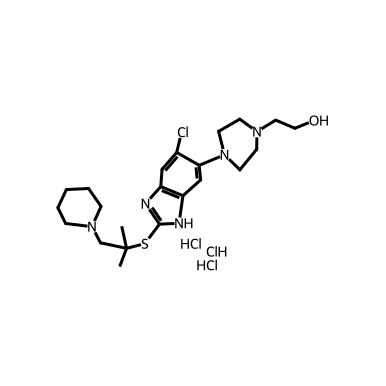 CC(C)(CN1CCCCC1)Sc1nc2cc(Cl)c(N3CCN(CCO)CC3)cc2[nH]1.Cl.Cl.Cl